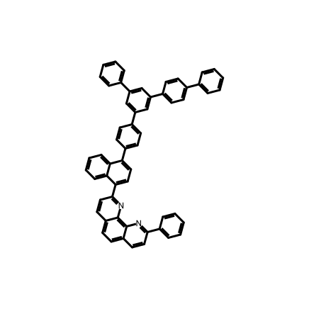 c1ccc(-c2ccc(-c3cc(-c4ccccc4)cc(-c4ccc(-c5ccc(-c6ccc7ccc8ccc(-c9ccccc9)nc8c7n6)c6ccccc56)cc4)c3)cc2)cc1